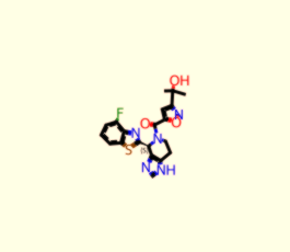 CC(C)(O)c1cc(C(=O)N2CCc3[nH]cnc3[C@H]2c2nc3c(F)cccc3s2)on1